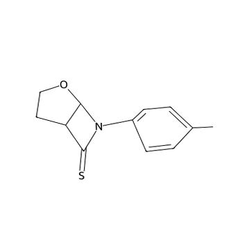 Cc1ccc(N2C(=S)C3CCOC32)cc1